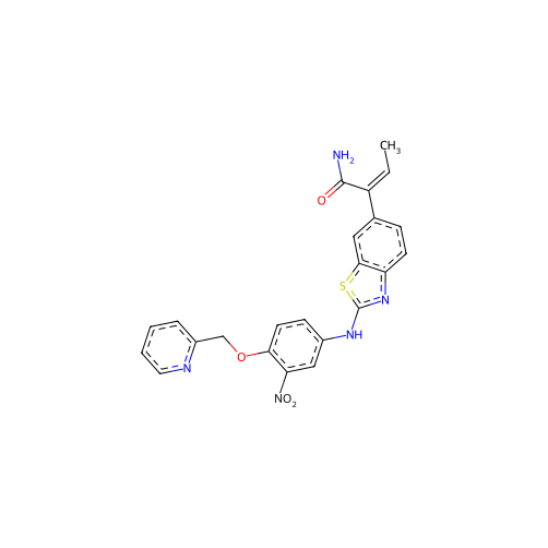 CC=C(C(N)=O)c1ccc2nc(Nc3ccc(OCc4ccccn4)c([N+](=O)[O-])c3)sc2c1